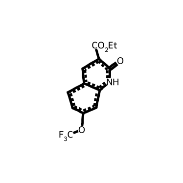 CCOC(=O)c1cc2ccc(OC(F)(F)F)cc2[nH]c1=O